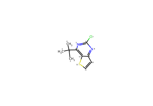 CC(C)(C)c1nc(Cl)nc2ccsc12